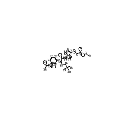 CCOC(=O)CSc1cnc(NC(=O)N(CCC(C)(C)C)c2cccc(NC(C)=O)c2)s1